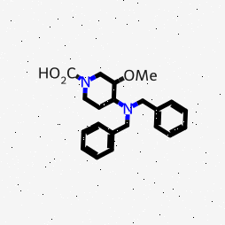 COC1CN(C(=O)O)CCC1N(Cc1ccccc1)Cc1ccccc1